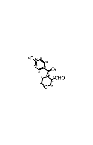 O=CC1COCCN1C(=O)c1ccc(F)nc1